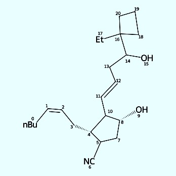 CCCC/C=C\C[C@H]1C(C#N)C[C@@H](O)C1/C=C/CC(O)C1(CC)CCC1